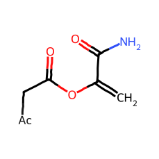 C=C(OC(=O)CC(C)=O)C(N)=O